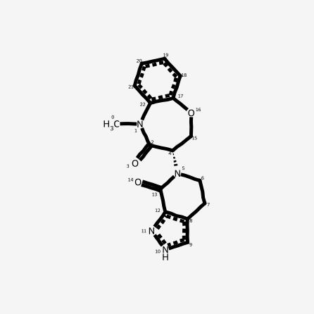 CN1C(=O)[C@@H](N2CCc3c[nH]nc3C2=O)COc2ccccc21